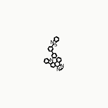 c1cc(-c2cccc(-n3c4ccccc4c4ccc5c6nccnc6c6ccccc6c5c43)c2)cc(-c2nc3ccccc3s2)c1